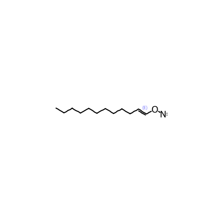 CCCCCCCCCC/C=C/O[N]